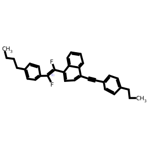 CCCCc1ccc(/C(F)=C(\F)c2ccc(C#Cc3ccc(CCC)cc3)c3ccccc23)cc1